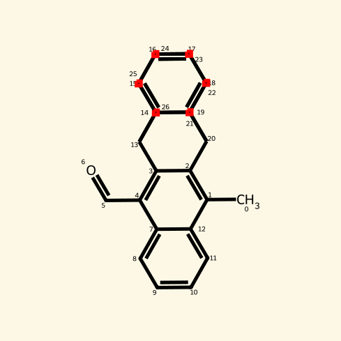 Cc1c2c(c(C=O)c3ccccc13)C1c3ccccc3C2c2ccccc21